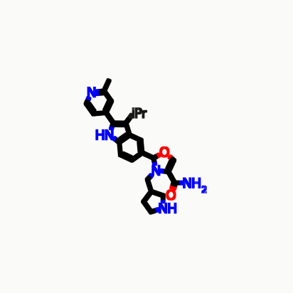 Cc1cc(-c2[nH]c3ccc(C4OC=C(C(N)=O)N4CC4CCNC4)cc3c2C(C)C)ccn1